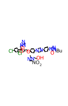 CCC(C)n1ncn(-c2ccc(N3CCN(c4ccc(OC[C@H]5CO[C@](Cn6cncn6)(c6ccc(Cl)cc6Cl)O5)cc4)CC3)cc2)c1=O.Cc1ncc([N+](=O)[O-])n1CCO